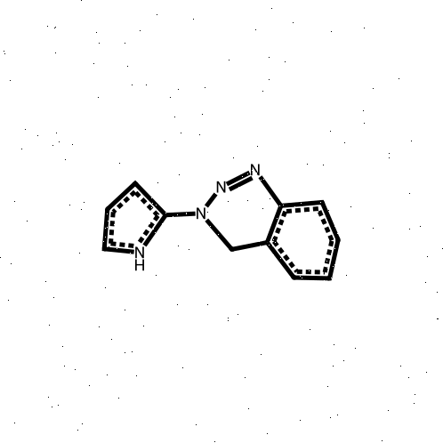 c1c[nH]c(N2Cc3ccccc3N=N2)c1